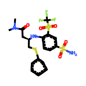 CN(C)C(=O)C[C@H](CSc1ccccc1)Nc1ccc(S(N)(=O)=O)cc1S(=O)(=O)C(F)(F)F